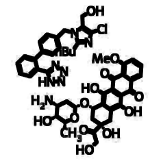 CCCCc1nc(Cl)c(CO)n1Cc1ccc(-c2ccccc2-c2nnn[nH]2)cc1.COc1cccc2c1C(=O)c1c(O)c3c(c(O)c1C2=O)C[C@@](O)(C(=O)CO)C[C@@H]3O[C@H]1C[C@H](N)[C@H](O)[C@H](C)O1